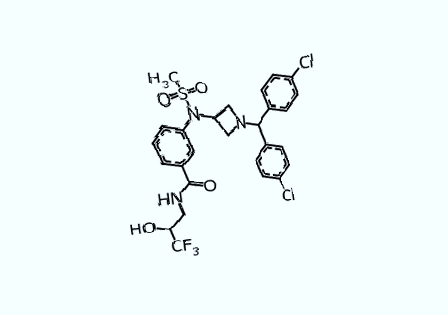 CS(=O)(=O)N(c1cccc(C(=O)NCC(O)C(F)(F)F)c1)C1CN(C(c2ccc(Cl)cc2)c2ccc(Cl)cc2)C1